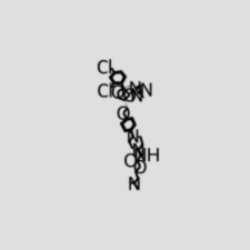 CN(C)CCOC(=O)NN1CCN(c2ccc(OC[C@@H]3CO[C@@](Cn4cncn4)(c4ccc(Cl)cc4Cl)O3)cc2)CC1